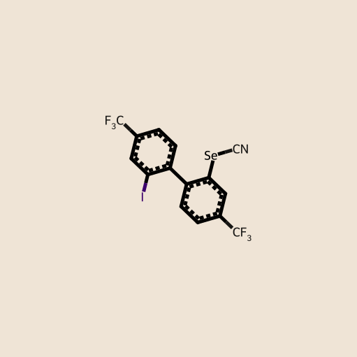 N#C[Se]c1cc(C(F)(F)F)ccc1-c1ccc(C(F)(F)F)cc1I